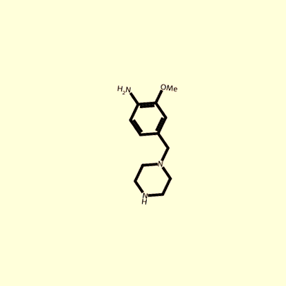 COc1cc(CN2CCNCC2)ccc1N